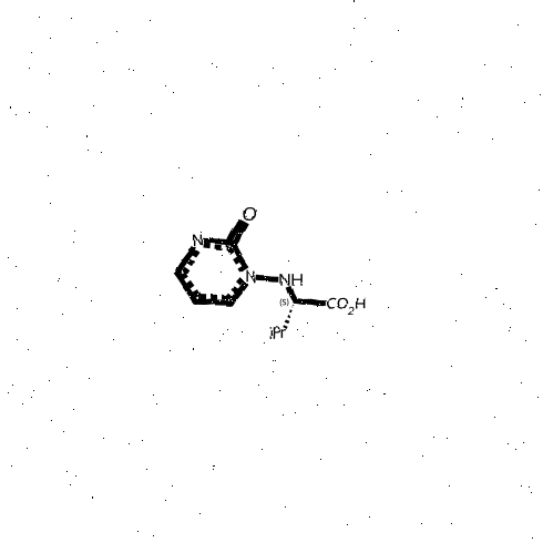 CC(C)[C@H](Nn1cccnc1=O)C(=O)O